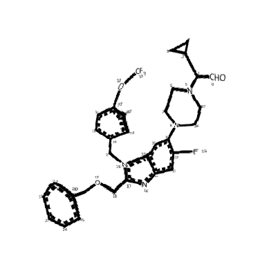 O=CC(C1CC1)N1CCN(c2cc3c(cc2F)nc(COc2ccccc2)n3Cc2ccc(OC(F)(F)F)cc2)CC1